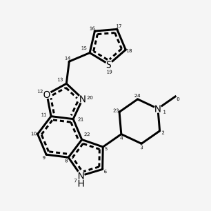 CN1CCC(c2c[nH]c3ccc4oc(Cc5cccs5)nc4c23)CC1